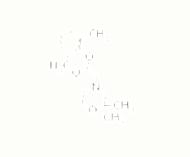 Cc1cccc(C)c1OC(=O)CN1CCOC(C)(C)C1